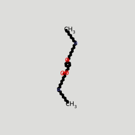 CCCCCCCC/C=C\CCCCCCCCOc1ccc(CCOC(=O)CCCCCCC/C=C\CCCCCCCC)cc1